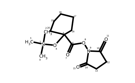 C[Si](C)(C)OC1(C(=O)ON2C(=O)CCC2=O)CCCCC1